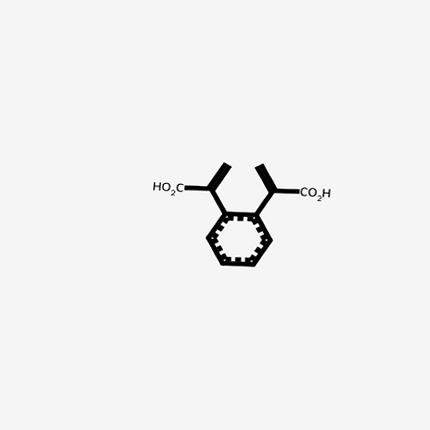 C=C(C(=O)O)c1ccccc1C(=C)C(=O)O